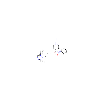 CCC(=O)N(c1ccccc1)C1(C(=O)OCCCn2c([N+](=O)[O-])cnc2C)CCNCC1